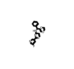 Fc1cncc(-c2nccc(NC(C3=CC=CCC3)C3=COC=CO3)n2)c1